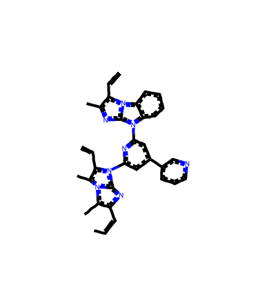 C=Cc1c(C)n2c(C)c(/C=C\C)nc2n1-c1cc(-c2cccnc2)cc(-n2c3ccccc3n3c(C=C)c(C)nc23)n1